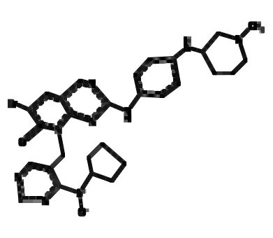 CN1CCCC(Nc2ccc(Nc3ncc4cc(Br)c(=O)n(Cc5cncnc5[S+]([O-])C5CCCC5)c4n3)cc2)C1